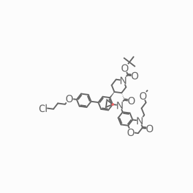 COCCCN1C(=O)COc2ccc(N(C(=O)[C@H]3CN(C(=O)OC(C)(C)C)CC[C@@H]3c3cccc(-c4ccc(OCCCCl)cc4)c3)C3CC3)cc21